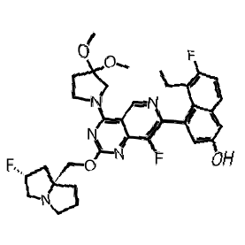 CCc1c(F)ccc2cc(O)cc(-c3ncc4c(N5CCC(OC)(OC)C5)nc(OC[C@@]56CCCN5C[C@H](F)C6)nc4c3F)c12